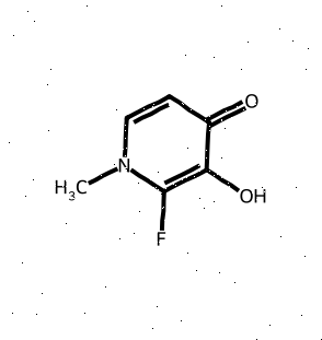 Cn1ccc(=O)c(O)c1F